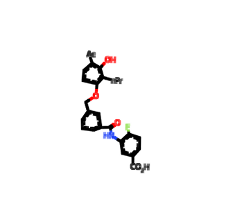 CCCc1c(OCc2cccc(C(=O)Nc3cc(C(=O)O)ccc3F)c2)ccc(C(C)=O)c1O